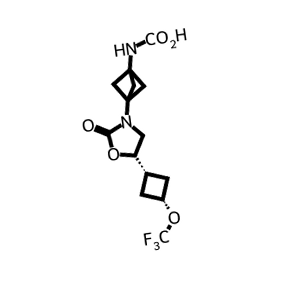 O=C(O)NC12CC(N3CC([C@H]4C[C@@H](OC(F)(F)F)C4)OC3=O)(C1)C2